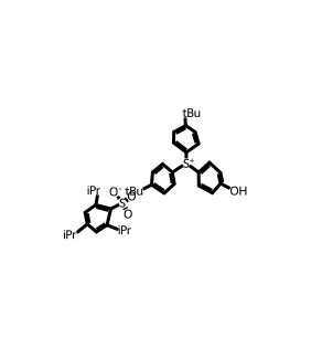 CC(C)(C)c1ccc([S+](c2ccc(O)cc2)c2ccc(C(C)(C)C)cc2)cc1.CC(C)c1cc(C(C)C)c(S(=O)(=O)[O-])c(C(C)C)c1